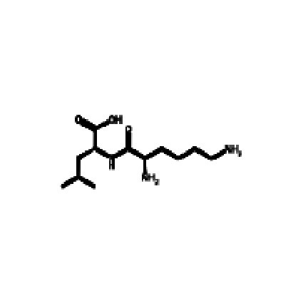 CC(C)C[C@H](NC(=O)[C@H](N)CCCCN)C(=O)O